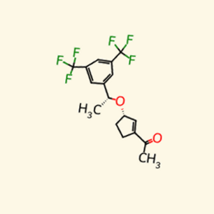 CC(=O)C1=C[C@@H](O[C@H](C)c2cc(C(F)(F)F)cc(C(F)(F)F)c2)CC1